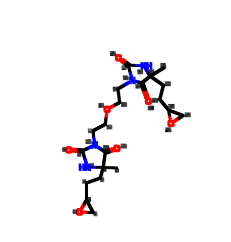 CC1(CCC2CO2)NC(=O)N(CCOCCN2C(=O)NC(C)(CCC3CO3)C2=O)C1=O